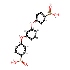 O=S(O)c1ccc(Oc2cccc(Oc3ccc(S(=O)O)cc3)c2)cc1